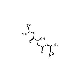 CCCCC(OC(=O)CC(O)C(=O)OC(CCCC)C1CO1)C1CO1